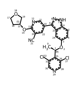 C[C@@H](Oc1ccc2[nH]nc(-c3cnc(O[C@H]4CCOC4)c(C#N)c3)c2c1)c1c(Cl)cncc1Cl